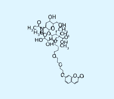 CC[C@H](C(OC1OC(CO)C(O)C[C@@H]1NC(C)=O)C(OC[C@H](C)CCOCCOCCOc1ccc2ccc(=O)oc2c1)C(O)C(O)OC)C(C)(C)C(=O)O